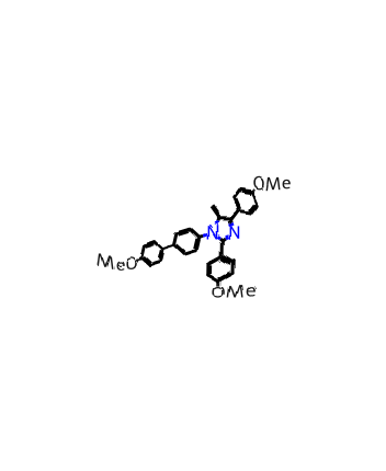 COc1ccc(C2=NC(c3ccc(OC)cc3)N(c3ccc(-c4ccc(OC)cc4)cc3)C2C)cc1